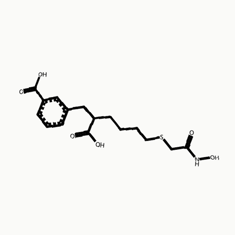 O=C(CSCCCCC(Cc1cccc(C(=O)O)c1)C(=O)O)NO